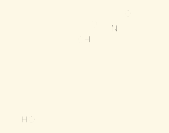 O=[N+]([O-])c1ccccc1C(O)c1ccc(O)cc1